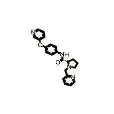 O=C(Nc1ccc(Oc2cccnc2)cc1)[C@@H]1CCCN1Cc1ccccn1